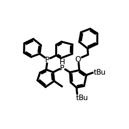 Cc1cccc(P(c2ccccc2)c2ccccc2)c1Pc1cc(C(C)(C)C)cc(C(C)(C)C)c1OCc1ccccc1